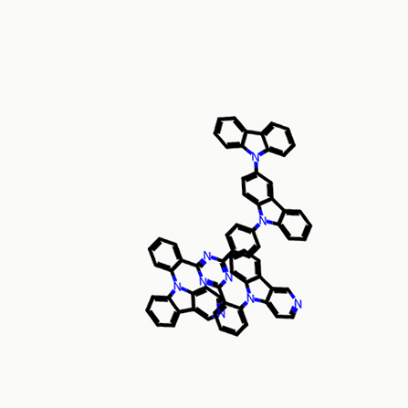 c1ccc(-n2c3ccccc3c3cnccc32)c(-c2nc(-c3ccc(-n4c5ccccc5c5cc(-n6c7ccccc7c7ccccc76)ccc54)cc3)nc(-c3ccccc3-n3c4ccccc4c4cnccc43)n2)c1